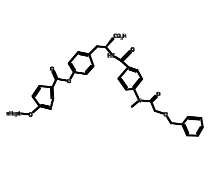 CCCCCCCOc1ccc(C(=O)Oc2ccc(C[C@H](NC(=O)c3ccc(N(C)C(=O)COCc4ccccc4)cc3)C(=O)O)cc2)cc1